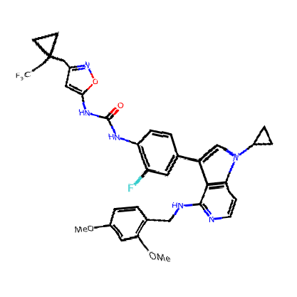 COc1ccc(CNc2nccc3c2c(-c2ccc(NC(=O)Nc4cc(C5(C(F)(F)F)CC5)no4)c(F)c2)cn3C2CC2)c(OC)c1